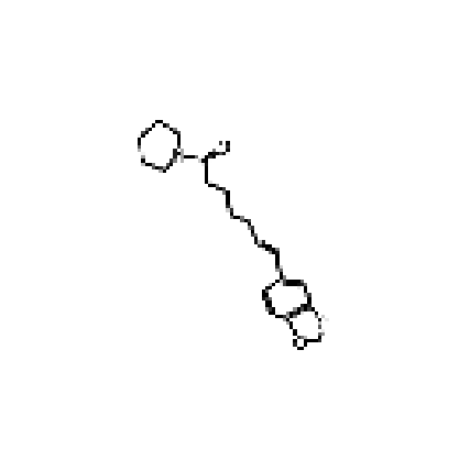 O=C(CCCC/C=C/c1ccc2c(c1)OCO2)N1CCCCC1